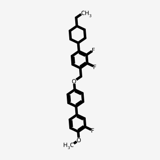 CCC1CCC(c2ccc(COc3ccc(-c4ccc(OC)c(F)c4)cc3)c(F)c2F)CC1